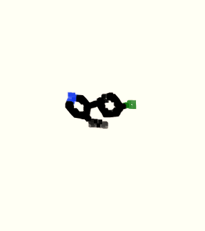 CSc1ccncc1-c1ccc(Cl)cc1